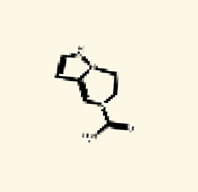 NC(=O)N1C=C2C=CNN2CC1